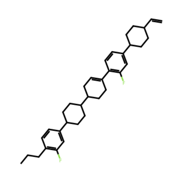 C=CC1CCC(c2ccc(C3=CCC(C4CCC(c5ccc(CCC)c(F)c5)CC4)CC3)c(F)c2)CC1